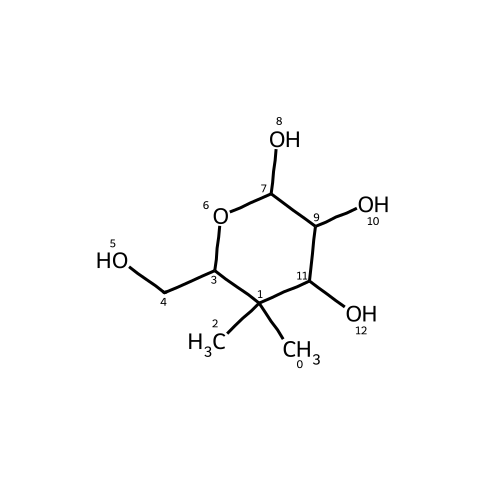 CC1(C)C(CO)OC(O)C(O)C1O